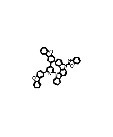 c1ccc2oc(-n3c4ccccc4c4c3ccc3c5ccccc5n(-c5cc(-c6ccc7oc8ccccc8c7c6)cc(-c6ccc7oc8ccccc8c7c6)n5)c34)nc2c1